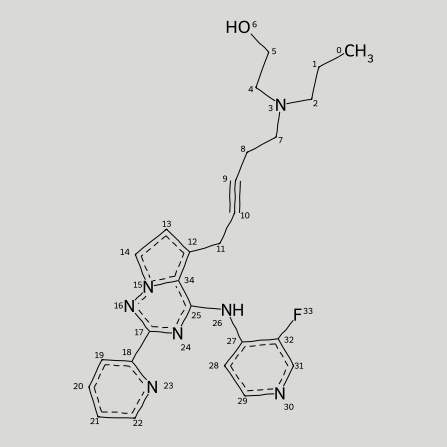 CCCN(CCO)CCC#CCc1ccn2nc(-c3ccccn3)nc(Nc3ccncc3F)c12